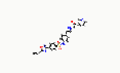 CCCCCCc1nc(-c2ccc(S(=O)(=O)Nc3ccc(CCNCC(O)c4cccnc4)cc3)cc2)no1